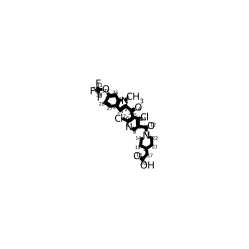 Cn1c(C(=O)c2c(Cl)ncc(C(=O)N3CCC(CC(=O)O)CC3)c2Cl)cc2ccc(OC(F)(F)F)cc21